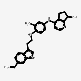 C=Cc1ccc2c(CCNc3ccc(Nc4ccnc5c4CCC5O)cc3C)c[nH]c2c1